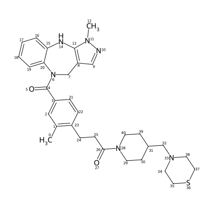 Cc1cc(C(=O)N2Cc3cnn(C)c3Nc3ccccc32)ccc1CCC(=O)N1CCC(CN2CCSCC2)CC1